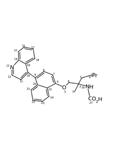 CC(C)CC(C)(COc1ccc(-c2ccnc3ccccc23)c2ccccc12)NC(=O)O